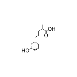 C=C(CCCc1cccc(O)c1)C(=O)O